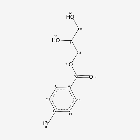 CC(C)c1ccc(C(=O)OCC(O)CO)cc1